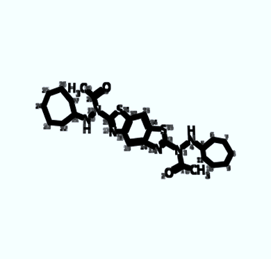 CC(=O)N(NC1CCCCCC1)c1nc2cc3nc(N(NC4CCCCCC4)C(C)=O)sc3cc2s1